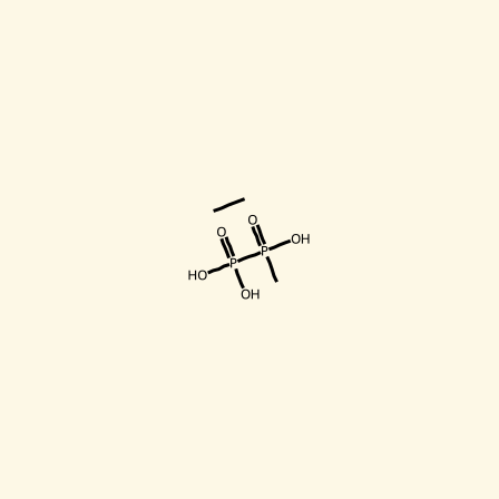 CC.CP(=O)(O)P(=O)(O)O